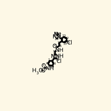 COC(=O)Nc1ccc(-c2nc(CNC(=O)C=Cc3cc(Cl)ccc3-n3cnnn3)[nH]c2Cl)cc1